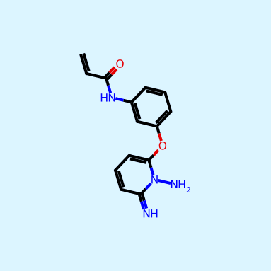 C=CC(=O)Nc1cccc(Oc2cccc(=N)n2N)c1